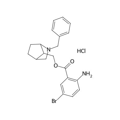 Cl.Nc1ccc(Br)cc1C(=O)OCC1C2CCC1N(Cc1ccccc1)C2